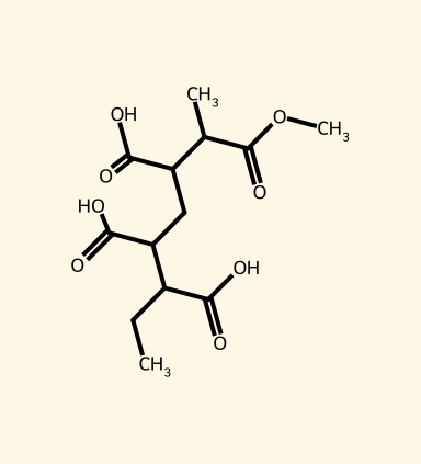 CCC(C(=O)O)C(CC(C(=O)O)C(C)C(=O)OC)C(=O)O